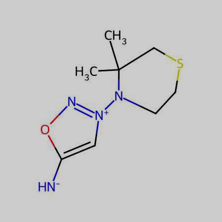 CC1(C)CSCCN1[n+]1cc([NH-])on1